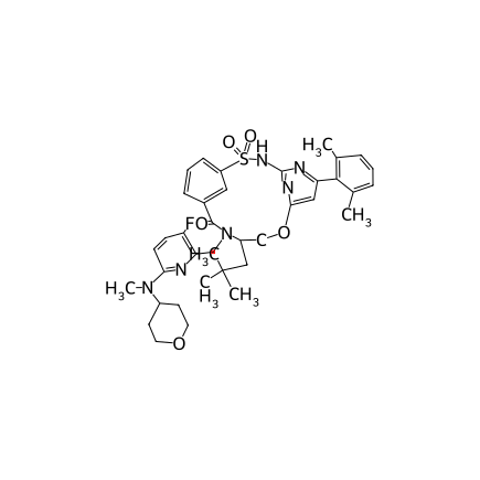 Cc1cccc(C)c1-c1cc2nc(n1)NS(=O)(=O)c1cccc(c1)C(=O)N(Cc1nc(N(C)C3CCOCC3)ccc1F)C(CC(C)(C)C)CO2